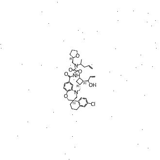 C=CCC(C)N(C[C@H]1CCCO1)S(=O)(=O)NC(=O)c1ccc2c(c1)N(C[C@@H]1CC[C@H]1C(O)C=C)C[C@@]1(CCCc3cc(Cl)ccc31)CO2